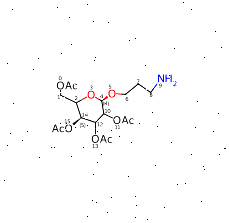 CC(=O)OCC1O[C@@H](OCCCN)C(OC(C)=O)C(OC(C)=O)[C@H]1OC(C)=O